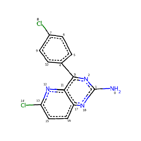 Nc1nc(-c2ccc(Cl)cc2)c2nc(Cl)ccc2n1